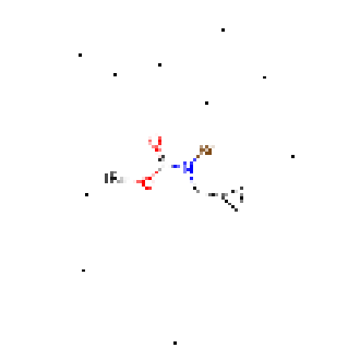 CC(C)(C)OC(=O)N(Br)CC1CC1